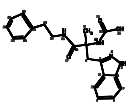 CC(Cc1n[nH]c2ccccc12)(NC(=O)O)C(=O)NCCc1ccccc1